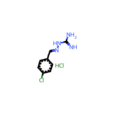 Cl.N=C(N)N/N=C/c1ccc(Cl)cc1